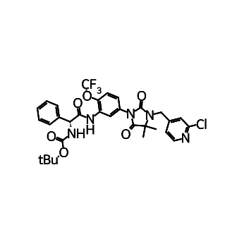 CC(C)(C)OC(=O)N[C@@H](C(=O)Nc1cc(N2C(=O)N(Cc3ccnc(Cl)c3)C(C)(C)C2=O)ccc1OC(F)(F)F)c1ccccc1